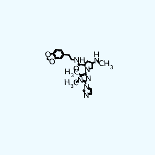 CNC1CC(C(=O)NCCc2ccc3c(c2)OCO3)N(c2nc(-n3ccnc3)n(C)c2C)C1